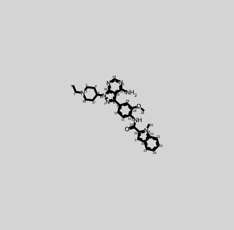 CCN1CCC(n2nc(-c3ccc(NC(=O)c4cc5ccccc5n4C)c(OC)c3)c3c(N)ncnc32)CC1